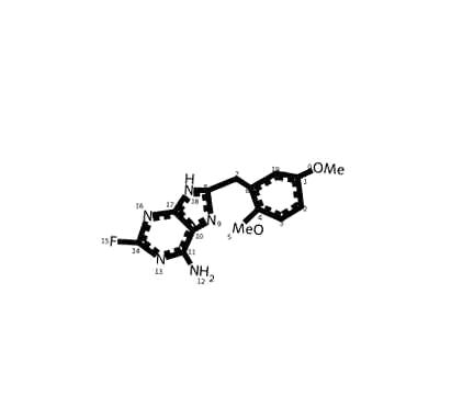 COc1ccc(OC)c(Cc2nc3c(N)nc(F)nc3[nH]2)c1